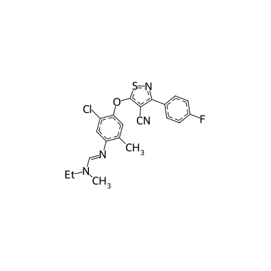 CCN(C)C=Nc1cc(Cl)c(Oc2snc(-c3ccc(F)cc3)c2C#N)cc1C